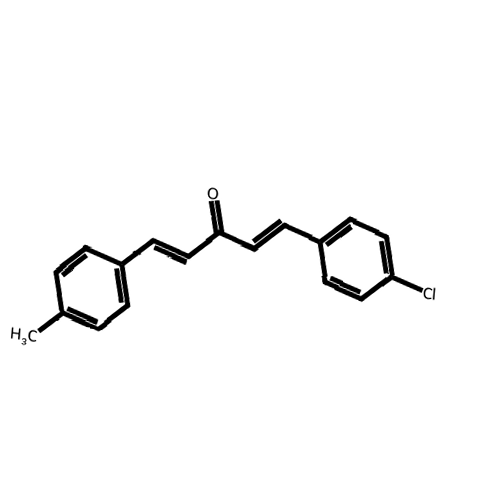 Cc1ccc(/C=C/C(=O)/C=C/c2ccc(Cl)cc2)cc1